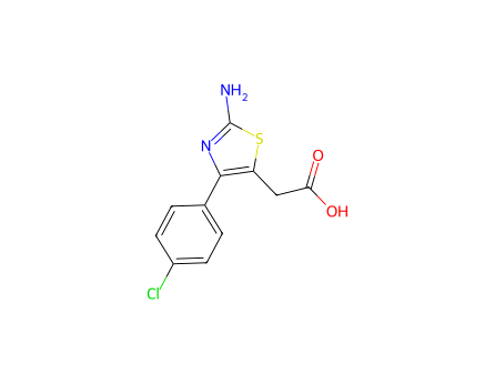 Nc1nc(-c2ccc(Cl)cc2)c(CC(=O)O)s1